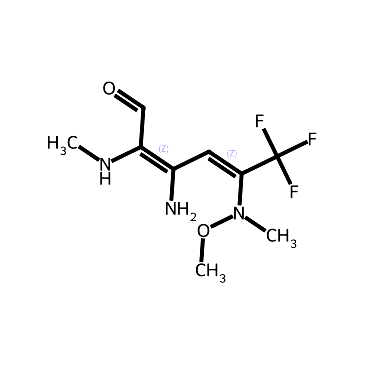 CN/C(C=O)=C(N)/C=C(\N(C)OC)C(F)(F)F